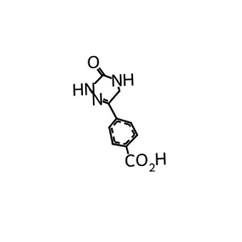 O=C1NCC(c2ccc(C(=O)O)cc2)=NN1